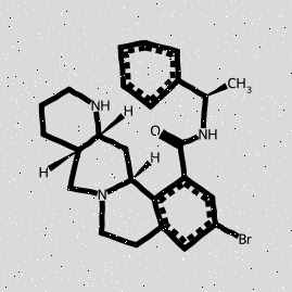 C[C@@H](NC(=O)c1cc(Br)cc2c1[C@H]1C[C@H]3NCCC[C@H]3CN1CC2)c1ccccc1